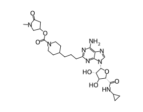 CN1CC(OC(=O)N2CCC(CCCc3nc(N)c4ncn([C@@H]5O[C@H](C(=O)NC6CC6)C(O)[C@@H]5O)c4n3)CC2)CC1=O